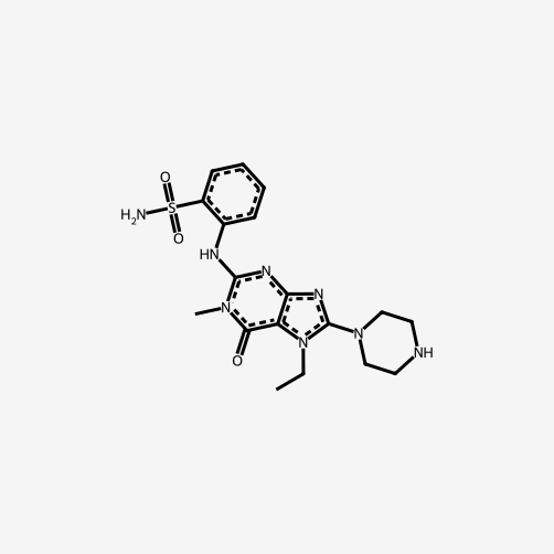 CCn1c(N2CCNCC2)nc2nc(Nc3ccccc3S(N)(=O)=O)n(C)c(=O)c21